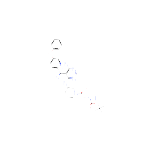 CC(C)(C)OC(=O)NCC(=O)N1CCC[C@@H](Nc2ncnc(N)c2C(=N)c2ccc(Oc3ccccc3)cc2)C1